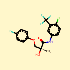 C[C@](O)(COc1ccc(F)cc1)C(=O)Nc1ccc(Cl)c(C(F)(F)F)c1